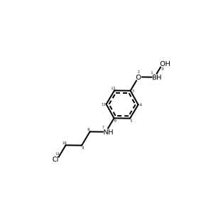 OBOc1ccc(NCCCCl)cc1